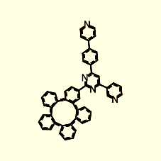 c1cncc(-c2cc(-c3ccc(-c4ccncc4)cc3)nc(-c3ccc4c5ccccc5c5ccccc5c5ccccc5c5ccccc5c4c3)n2)c1